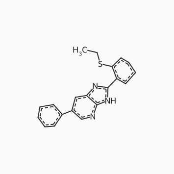 CCSc1ccccc1-c1nc2cc(-c3ccccc3)cnc2[nH]1